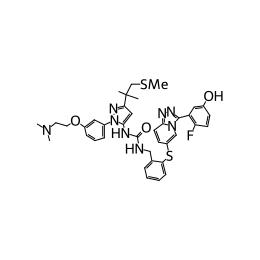 CSCC(C)(C)c1cc(NC(=O)NCc2ccccc2Sc2ccc3nnc(-c4cc(O)ccc4F)n3c2)n(-c2cccc(OCCN(C)C)c2)n1